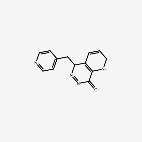 O=C1N=NC(Cc2ccncc2)C2=C1NCC=C2